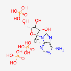 Nc1ncnc2c1ncn2[C@]1(C(F)(F)F)O[C@H](CO)[C@@H](O)[C@H]1O.O=P(O)(O)O.O=P(O)(O)O.O=P(O)(O)O